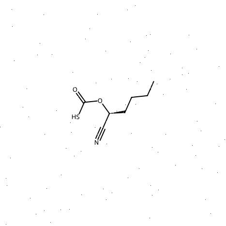 CCCC[C@@H](C#N)OC(=O)S